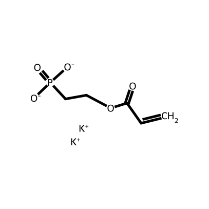 C=CC(=O)OCCP(=O)([O-])[O-].[K+].[K+]